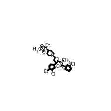 CCN(C1CCN(CCC(C)(C(=O)N(C)Cc2cccc(Cl)c2)c2ccc(Cl)c(Cl)c2)CC1)S(C)(=O)=O